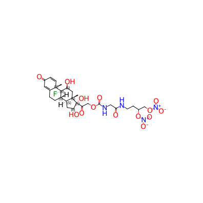 C[C@]12C=CC(=O)C=C1CC[C@H]1[C@@H]3C[C@@H](O)[C@](O)(C(=O)COC(=O)NCC(=O)NCCC(CO[N+](=O)[O-])O[N+](=O)[O-])[C@@]3(C)C[C@H](O)[C@@]12F